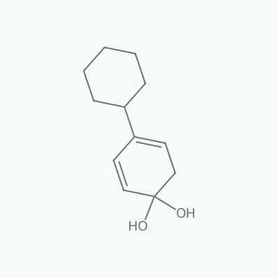 OC1(O)C=CC(C2CCCCC2)=CC1